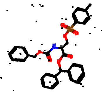 Cc1ccc(S(=O)(=O)OC[C@H](NC(=O)OCc2ccccc2)C(=O)OC(c2ccccc2)c2ccccc2)cc1